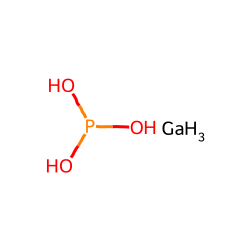 OP(O)O.[GaH3]